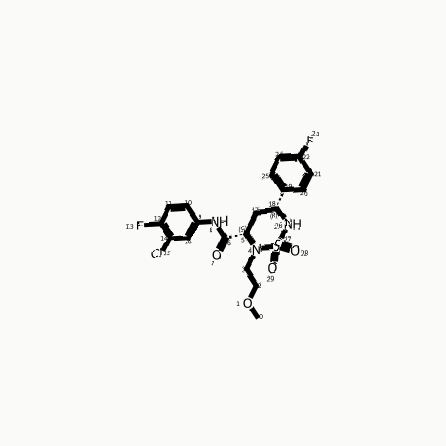 COCCN1[C@H](C(=O)Nc2ccc(F)c(Cl)c2)C[C@H](c2ccc(F)cc2)NS1(=O)=O